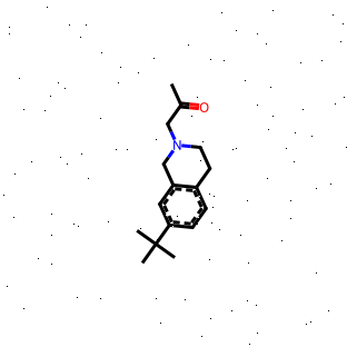 CC(=O)CN1CCc2ccc(C(C)(C)C)cc2C1